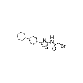 O=C(CBr)Nc1nc(-c2ccc(C3CCCCC3)cc2)cs1